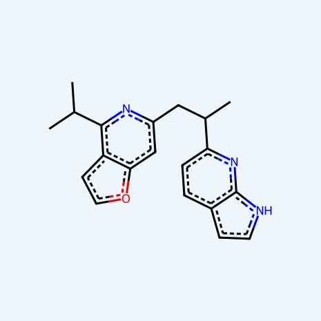 CC(C)c1nc(CC(C)c2ccc3cc[nH]c3n2)cc2occc12